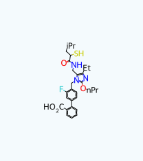 CCCOc1nc(CC)c(CNC(=O)C(S)CC(C)C)n1Cc1ccc(-c2ccccc2C(=O)O)cc1F